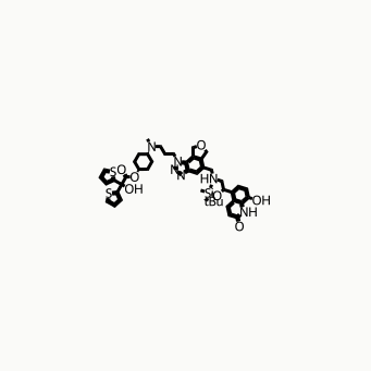 CN(CCCn1nnc2cc(CNCC(O[Si](C)(C)C(C)(C)C)c3ccc(O)c4[nH]c(=O)ccc34)c3c(c21)COC3)[C@H]1CC[C@H](OC(=O)C(O)(c2cccs2)c2cccs2)CC1